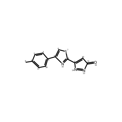 Cc1ccc(-c2csc(C3=CC(=O)N=N3)n2)cc1